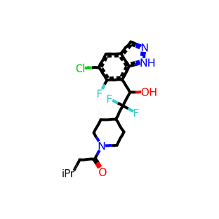 CC(C)CC(=O)N1CCC(C(F)(F)C(O)c2c(F)c(Cl)cc3cn[nH]c23)CC1